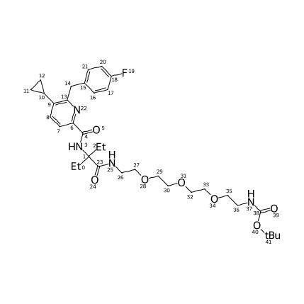 CCC(CC)(NC(=O)c1ccc(C2CC2)c(Cc2ccc(F)cc2)n1)C(=O)NCCOCCOCCOCCNC(=O)OC(C)(C)C